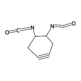 O=C=NC1CC#CCC1N=C=O